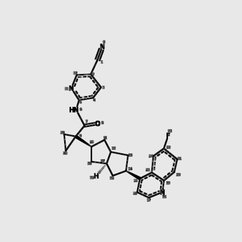 N#Cc1ccc(NC(=O)C2([C@H]3CC4C[C@@H](c5ccnc6ccc(F)cc56)C[C@H]4C3)CC2)nc1